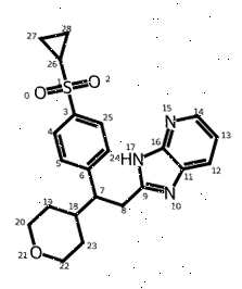 O=S(=O)(c1ccc(C(Cc2nc3cccnc3[nH]2)C2CCOCC2)cc1)C1CC1